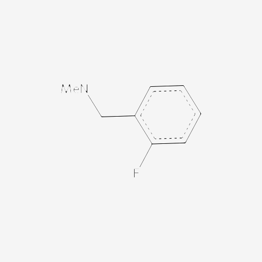 [CH2-][NH2+]Cc1ccccc1F